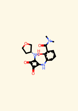 CN(C)C(=O)c1cccc(Nc2c(N[C@@H]3CCOC3)c(=O)c2=O)c1O